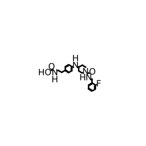 O=C(O)NCCc1ccc(NC2CCN(C(=O)NCc3ccccc3F)CC2)cc1